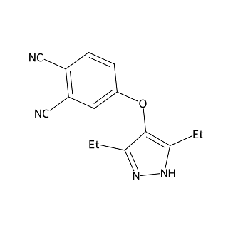 CCc1n[nH]c(CC)c1Oc1ccc(C#N)c(C#N)c1